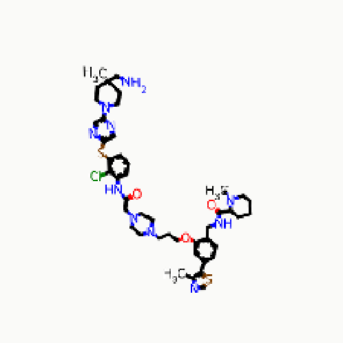 Cc1ncsc1-c1ccc(CNC(=O)C2CCCCN2C)c(OCCCN2CCN(CC(=O)Nc3cccc(Sc4cnc(N5CCC(C)(CN)CC5)cn4)c3Cl)CC2)c1